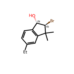 CCc1ccc2c(c1)C(C)(C)[C@H](Br)[C@H]2O